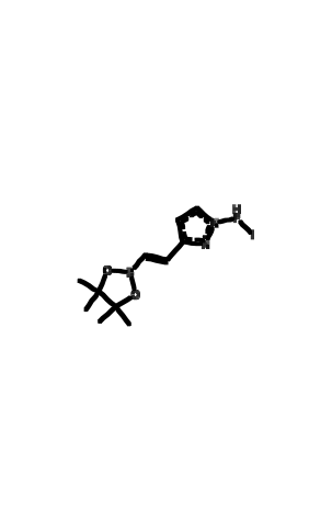 CC1(C)OB(/C=C/c2ccn(PI)n2)OC1(C)C